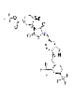 CC(C)(C)OC(=O)N1CC[C@@H](F)[C@@H](N2C(=O)S/C(=C\c3ccc4c(cnn4Cc4ccc(C(F)(F)F)cc4C(F)(F)F)c3)C2=O)C1